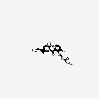 COC(=O)OCOc1c2n(ccc1=O)N[C@@H]1CCC3(CC3CO)CN1C2=O